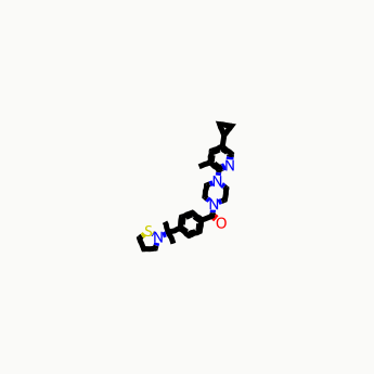 Cc1cc(C2CC2)cnc1N1CCN(C(=O)c2ccc(C(C)(C)N3CCCS3)cc2)CC1